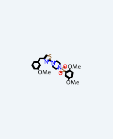 COc1cccc(Cc2csc(N3CCN(S(=O)(=O)c4cc(OC)ccc4OC)CC3)n2)c1